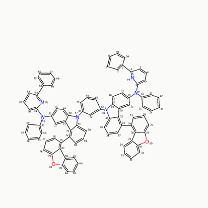 c1ccc(-c2cccc(N(c3ccccc3)c3ccc4c(c3)c3c(-c5cccc6oc7ccccc7c56)cccc3n4-c3cccc(-n4c5ccc(N(c6ccccc6)c6cccc(-c7ccccc7)n6)cc5c5c(-c6cccc7oc8ccccc8c67)cccc54)c3)n2)cc1